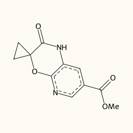 COC(=O)c1cnc2c(c1)NC(=O)C1(CC1)O2